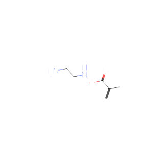 C=C(C)C(=O)ONCCN